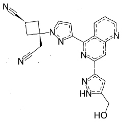 N#CC[C@]1(n2ccc(-c3nc(-c4cc(CO)[nH]n4)cc4ncccc34)n2)C[C@H](C#N)C1